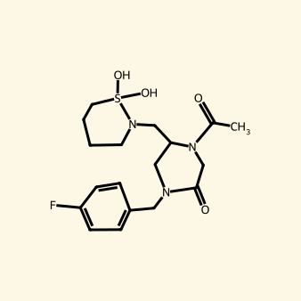 CC(=O)N1CC(=O)N(Cc2ccc(F)cc2)CC1CN1CCCCS1(O)O